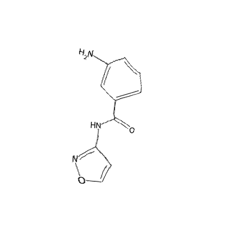 Nc1cccc(C(=O)Nc2ccon2)c1